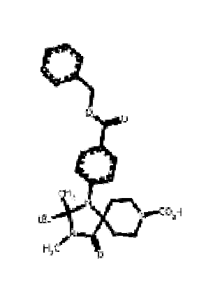 CN1C(=O)C2(CCN(C(=O)O)CC2)N(c2ccc(C(=O)OCc3ccccc3)cc2)C1(C)C(C)(C)C